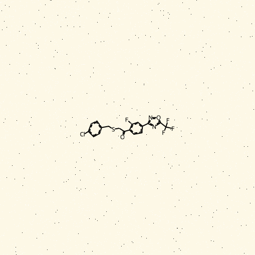 O=C(CSCc1ccc(Cl)cc1)c1ccc(-c2noc(C(F)(F)F)n2)cc1F